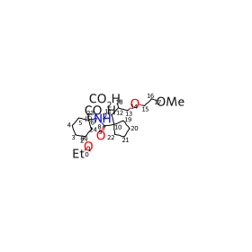 CCO[C@@H]1CCC[C@@](NC(=O)C2(CC(COCCOC)C(=O)O)CCCC2)(C(=O)O)C1